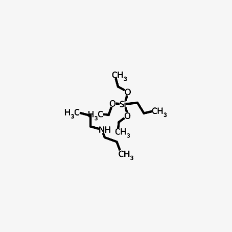 CCCNCCC.CCC[Si](OCC)(OCC)OCC